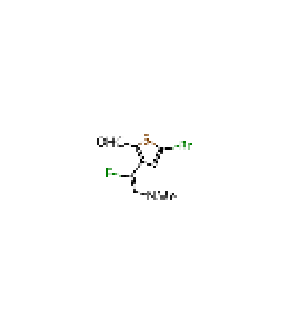 CN/C=C(/F)c1cc(Br)sc1C=O